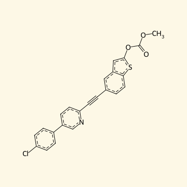 COC(=O)Oc1cc2cc(C#Cc3ccc(-c4ccc(Cl)cc4)cn3)ccc2s1